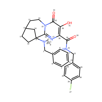 CN(Cc1ccccc1)C12CCC(CCn3c1nc(C(=O)NCc1ccc(F)cc1)c(O)c3=O)C2